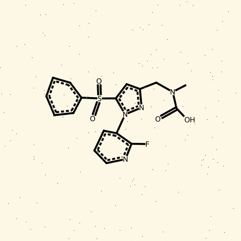 CN(Cc1cc(S(=O)(=O)c2ccccc2)n(-c2cccnc2F)n1)C(=O)O